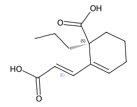 CCC[C@]1(C(=O)O)CCCC=C1/C=C/C(=O)O